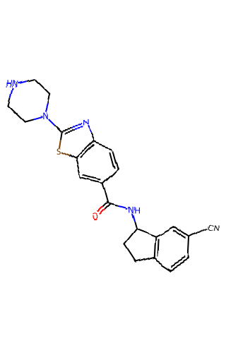 N#Cc1ccc2c(c1)C(NC(=O)c1ccc3nc(N4CCNCC4)sc3c1)CC2